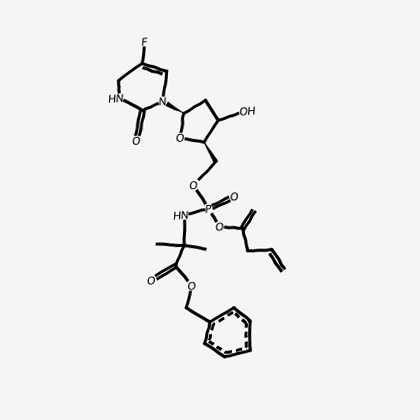 C=CCC(=C)OP(=O)(NC(C)(C)C(=O)OCc1ccccc1)OC[C@H]1O[C@@H](N2C=C(F)CNC2=O)CC1O